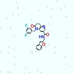 O=C(NCc1cc2ccccc2o1)c1cnc2c(c1)N(Cc1cc(F)cc(F)c1)C(=O)CC2